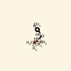 COc1ccc(CNC(=O)[C@H](CN)NC(=O)OC(C)(C)C)cc1